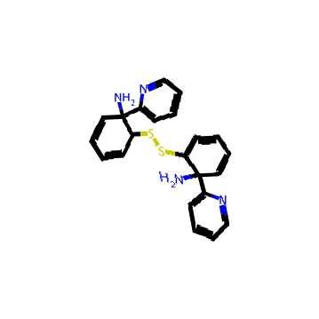 NC1(c2ccccn2)C=CC=CC1SSC1C=CC=CC1(N)c1ccccn1